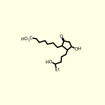 CCC(O)CCCC1C(O)CC(=O)C1CCCCCCC(=O)O